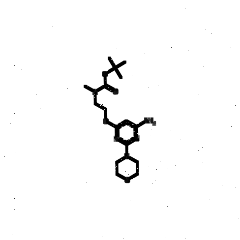 CN(CCOc1cc(N)nc(N2CCOCC2)n1)C(=O)OC(C)(C)C